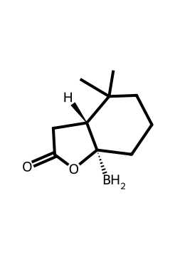 B[C@@]12CCCC(C)(C)[C@H]1CC(=O)O2